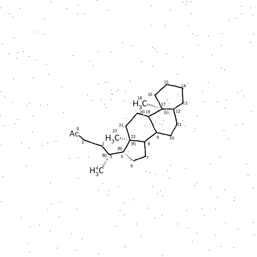 CC(=O)CC[C@@H](C)[C@H]1CCC2C3CCC4CCCC[C@]4(C)C3CC[C@@]21C